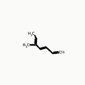 [CH]=CC=CC(C)=CC